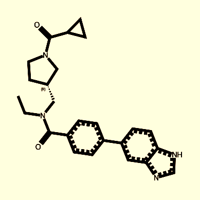 CCN(C[C@@H]1CCN(C(=O)C2CC2)C1)C(=O)c1ccc(-c2ccc3[nH]cnc3c2)cc1